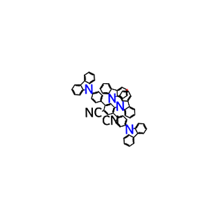 N#Cc1c(C#N)c(-c2ccc(-n3c4ccccc4c4ccccc43)cc2)c(-n2c3ccccc3c3ccccc32)c(-n2c3ccccc3c3ccccc32)c1-c1ccc(-n2c3ccccc3c3ccccc32)cc1